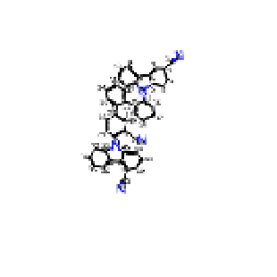 N#Cc1ccc2c(c1)c1ccccc1n2-c1ccccc1-c1ccccc1-c1ccc(-n2c3ccccc3c3c(C#N)cccc32)c(C#N)c1